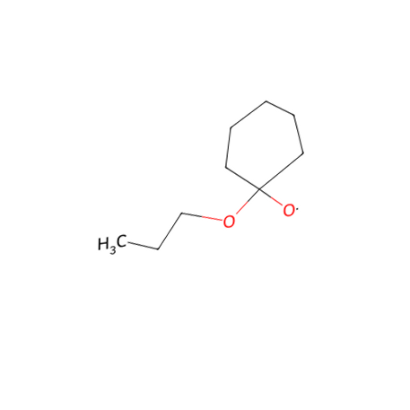 CCCOC1([O])CCCCC1